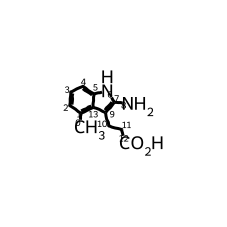 Cc1cccc2[nH]c(N)c(CCC(=O)O)c12